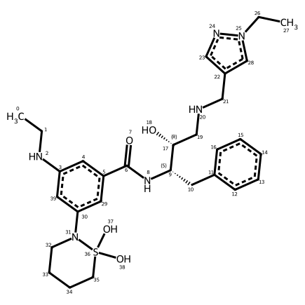 CCNc1cc(C(=O)N[C@@H](Cc2ccccc2)[C@H](O)CNCc2cnn(CC)c2)cc(N2CCCCS2(O)O)c1